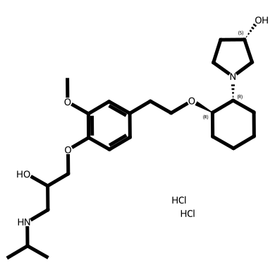 COc1cc(CCO[C@@H]2CCCC[C@H]2N2CC[C@H](O)C2)ccc1OCC(O)CNC(C)C.Cl.Cl